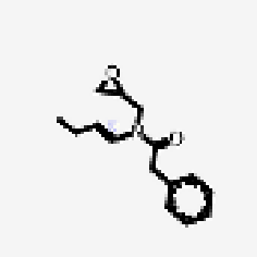 CC/C=C/N(CC1CO1)C(=O)Cc1ccccc1